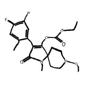 CCOC(=O)OC1=C(c2cc(Br)c(F)cc2C)C(=O)N(C)C12CCN(OC)CC2